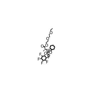 CCOCCOCCOC(=O)[C@H](C)NP(=O)(Oc1ccccc1)Oc1c(F)c(F)c(F)c(F)c1F